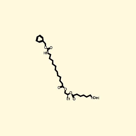 CCCCCCCCCCCCCCCC(=O)O[C@@H](CC)COC(=O)CCCCCCCCCCCNC(=O)OCc1ccccc1